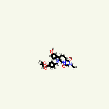 CCCN1CC(=O)N2Cc3c(c4cc(OC)ccc4n3Cc3ccc(C(=O)OC(C)(C)C)cc3)CCCC2C1=O